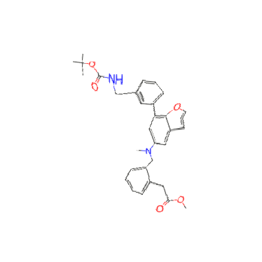 COC(=O)Cc1ccccc1CN(C)c1cc(-c2cccc(CNC(=O)OC(C)(C)C)c2)c2occc2c1